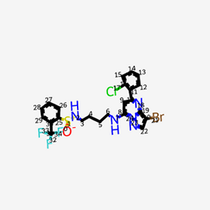 [O-][S+](NCCCCNc1cc(-c2ccccc2Cl)nc2c(Br)cnn12)c1ccccc1C(F)(F)F